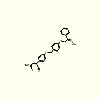 CO/N=C(\COc1ccc(COc2ccc(/C(C#N)=C/C(=O)O)cc2)cc1)c1ccccc1